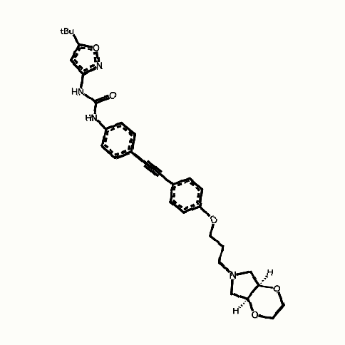 CC(C)(C)c1cc(NC(=O)Nc2ccc(C#Cc3ccc(OCCCN4C[C@@H]5OCCO[C@@H]5C4)cc3)cc2)no1